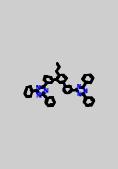 CCCc1ccc(-c2cccc(-c3nc(-c4ccccc4)nc(-c4ccccc4)n3)c2)cc1-c1cccc(-c2nc(-c3ccccc3)nc(-c3ccccc3)n2)c1